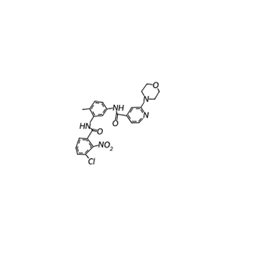 Cc1ccc(NC(=O)c2ccnc(N3CCOCC3)c2)cc1NC(=O)c1cccc(Cl)c1[N+](=O)[O-]